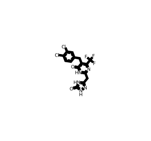 O=c1[nH]nc(Cc2nc(C(F)(F)F)c(Cc3ccc(Cl)c(Cl)c3)c(=O)[nH]2)[nH]1